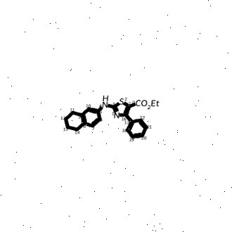 CCOC(=O)c1sc(Nc2ccc3c(c2)CCCC3)nc1-c1ccccc1